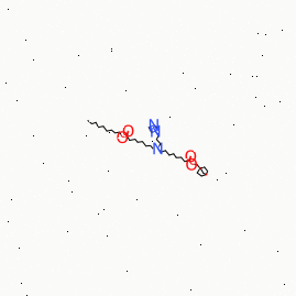 CCCCCCCCCOC(=O)CCCCCCCN(CCCCCCCC(=O)OCC12CCC(CC1)CC2)CCCn1ccnc1